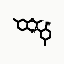 [CH2]C(OC1CC(C)CCC1C(C)C)OC1CC(C)CCC1C(C)C